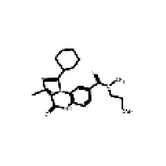 COCCN(C(=O)c1ccc2[nH]c(=O)c3c(C)nc(C4CCCCC4)n3c2c1)C(F)(F)F